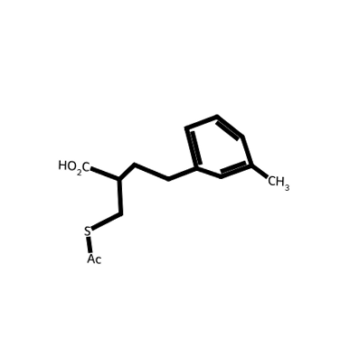 CC(=O)SCC(CCc1cccc(C)c1)C(=O)O